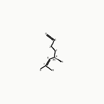 C=CCC[C@@H](C)C=C(C)C